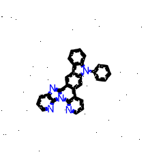 c1ccc(-n2c3ccccc3c3cc4c(cc32)c2cccnc2n2c3ncccc3nc42)cc1